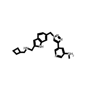 C[SiH2]c1cncc(-c2cn(Cc3ccc4cc(CNCC5CCC5)[nH]c4c3)nn2)c1